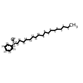 CCCCCCCCCCCCCCCCCC[S+]([O-])c1ccccc1